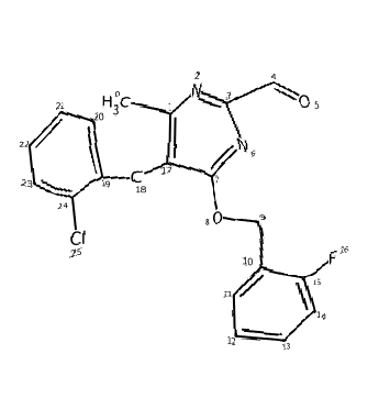 Cc1nc(C=O)nc(OCc2ccccc2F)c1Cc1ccccc1Cl